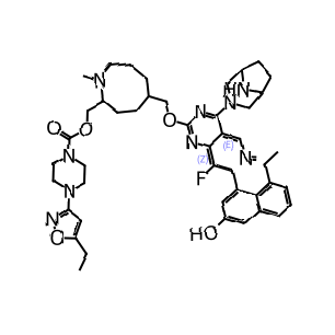 C=N/C=c1/c(N2CC3CCC(C2)N3)nc(OCC2CCCN(C)C(COC(=O)N3CCN(c4cc(CC)on4)CC3)CC2)n/c1=C(\F)Cc1cc(O)cc2cccc(CC)c12